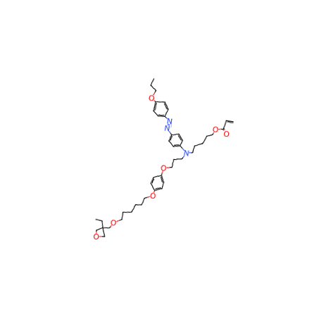 C=CC(=O)OCCCCCN(CCCOc1ccc(OCCCCCCOCC2(CC)COC2)cc1)c1ccc(/N=N/c2ccc(OCCC)cc2)cc1